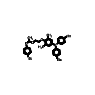 CCC(C)c1ccc(OC(C)OCCOc2c(C)cc([S+](c3ccc(C(C)(C)C)cc3)c3ccc(C(C)(C)C)cc3)cc2C)cc1